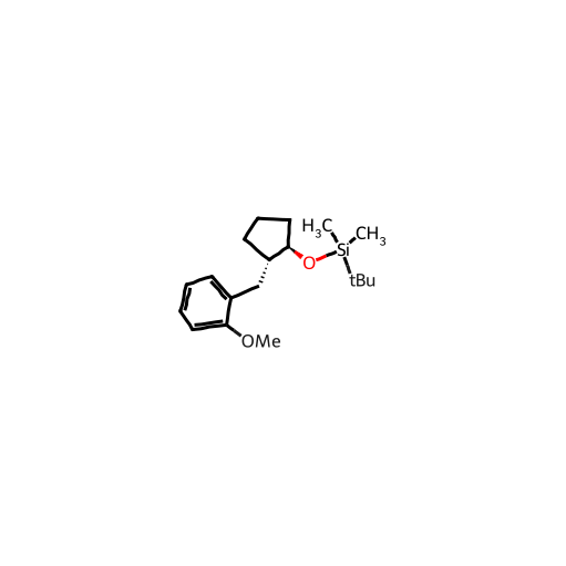 COc1ccccc1C[C@@H]1CCC[C@H]1O[Si](C)(C)C(C)(C)C